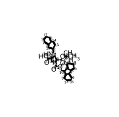 CC(C)(C)OC(=O)[C@@H]1C[C@@](NCc2ccc3ccccc3c2)(C(=O)O)CN1C(=O)OCC1c2ccccc2-c2ccccc21